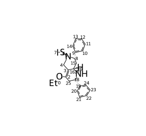 CCOC1=C2CN(SI)[C@H](c3ccccc3)C[C@@H]2N[C@H](c2ccccc2)C1